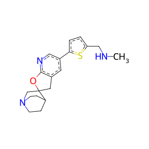 CNCc1ccc(-c2cnc3c(c2)CC2(CN4CCC2CC4)O3)s1